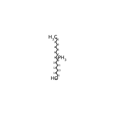 CCCCCCCCCCCCCCCCO.P